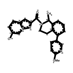 COc1ccc(-c2cccc3c2CCN(C(=O)c2cc4ccc(Cl)cn4n2)C3C)cn1